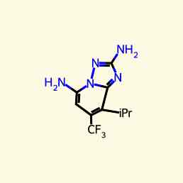 CC(C)c1c(C(F)(F)F)cc(N)n2nc(N)nc12